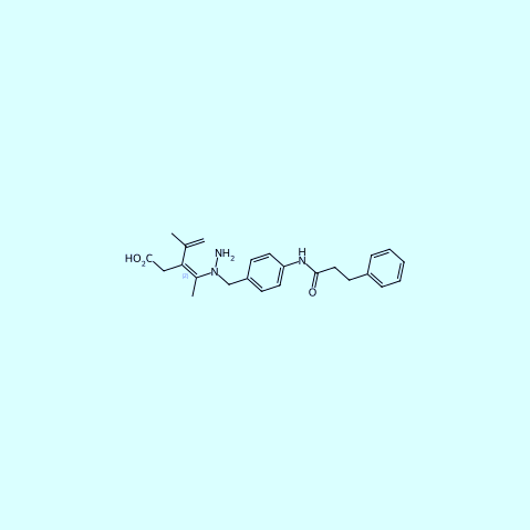 C=C(C)/C(CC(=O)O)=C(/C)N(N)Cc1ccc(NC(=O)CCc2ccccc2)cc1